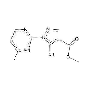 COC(=O)c1cnn(-c2nccc(C)n2)c1S